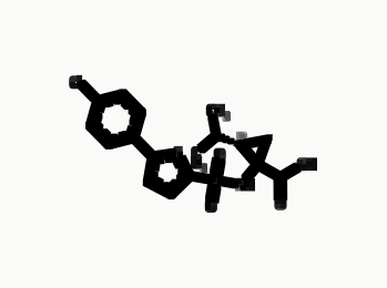 CC(C)[C@@H]1CC1(NS(=O)(=O)c1ccc(-c2ccc(Cl)cc2)s1)C(=O)O